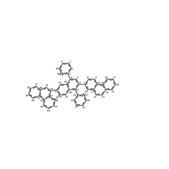 c1ccc(-c2cc(-c3ccc4c(ccc5ccccc54)c3)c(-c3ccccn3)c3cc4c(cc23)-c2cc3ccccc3c3cccc-4c23)nc1